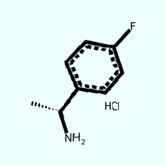 C[C@@H](N)c1ccc(F)cc1.Cl